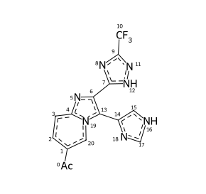 CC(=O)c1ccc2nc(-c3nc(C(F)(F)F)n[nH]3)c(-c3c[nH]cn3)n2c1